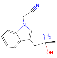 C[C@@](N)(O)Cc1cn(CC#N)c2ccccc12